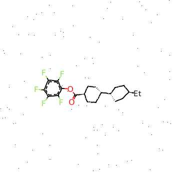 CC[C@H]1CC[C@H]([C@H]2CC[C@H](C(=O)Oc3c(F)c(F)c(F)c(F)c3F)CC2)CC1